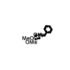 CO[Si](CNCc1ccccc1)(OC)OC